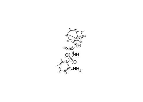 Nc1ccccc1S(=O)(=O)NC(=S)NC12CC3CC(CC(C3)C1)C2